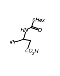 CCCCCCC(=O)NC(CC(=O)O)C(C)C